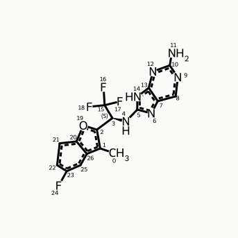 Cc1c([C@H](Nc2nc3cnc(N)nc3[nH]2)C(F)(F)F)oc2ccc(F)cc12